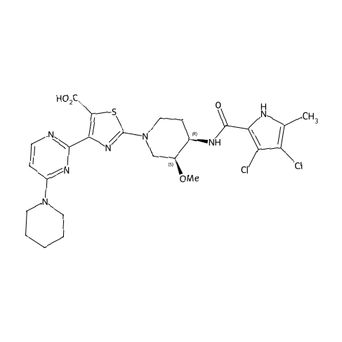 CO[C@H]1CN(c2nc(-c3nccc(N4CCCCC4)n3)c(C(=O)O)s2)CC[C@H]1NC(=O)c1[nH]c(C)c(Cl)c1Cl